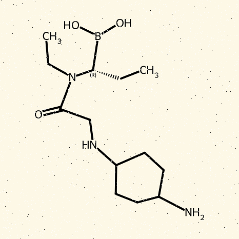 CC[C@@H](B(O)O)N(CC)C(=O)CNC1CCC(N)CC1